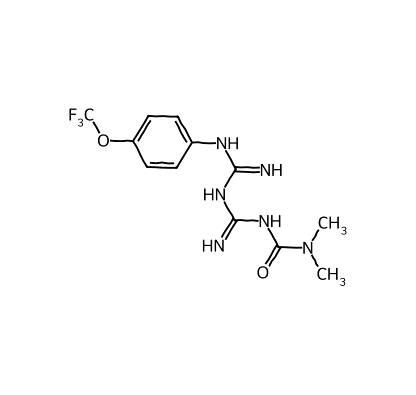 CN(C)C(=O)NC(=N)NC(=N)Nc1ccc(OC(F)(F)F)cc1